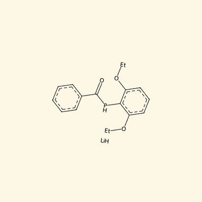 CCOc1cccc(OCC)c1PC(=O)c1ccccc1.[LiH]